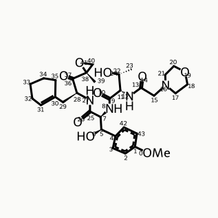 COc1ccc([C@@H](O)[C@H](NC(=O)[C@@H](NC(=O)CN2CCOCC2)[C@@H](C)O)C(=O)N[C@@H](CC2=CCCCC2)C(=O)[C@@]2(C)CO2)cc1